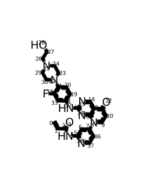 C=CC(=O)Nc1cc(-n2ccc(=O)c3cnc(Nc4ccc(N5CCN(CCO)CC5)c(F)c4)nc32)ccn1